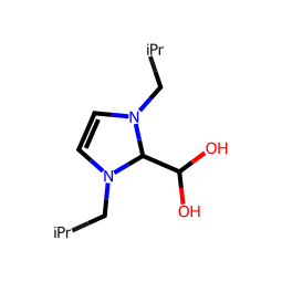 CC(C)CN1C=CN(CC(C)C)C1C(O)O